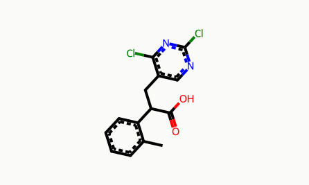 Cc1ccccc1C(Cc1cnc(Cl)nc1Cl)C(=O)O